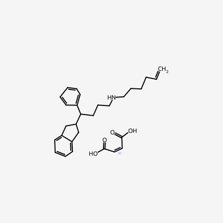 C=CCCCCNCCCC(c1ccccc1)C1Cc2ccccc2C1.O=C(O)/C=C\C(=O)O